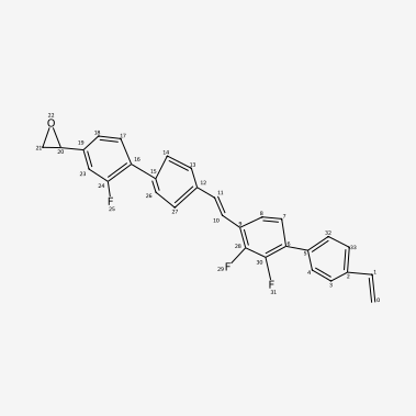 C=Cc1ccc(-c2ccc(/C=C/c3ccc(-c4ccc(C5CO5)cc4F)cc3)c(F)c2F)cc1